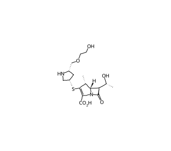 C[C@@H](O)[C@H]1C(=O)N2C(C(=O)O)=C(S[C@@H]3CN[C@H](COCCO)C3)[C@H](C)[C@H]12